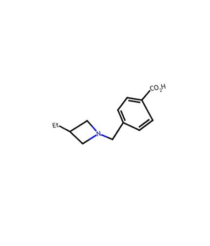 CCC1CN(Cc2ccc(C(=O)O)cc2)C1